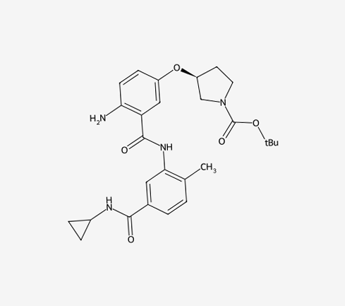 Cc1ccc(C(=O)NC2CC2)cc1NC(=O)c1cc(O[C@H]2CCN(C(=O)OC(C)(C)C)C2)ccc1N